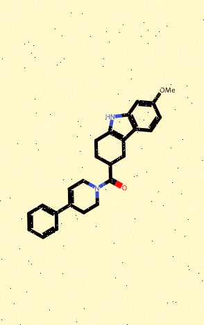 COc1ccc2c3c([nH]c2c1)CCC(C(=O)N1CC=C(c2ccccc2)CC1)C3